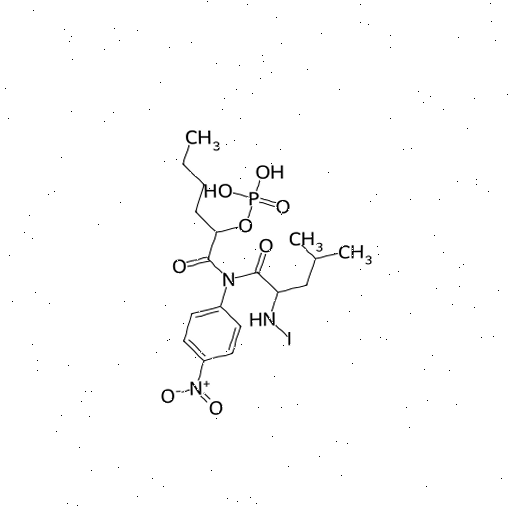 CCCCC(OP(=O)(O)O)C(=O)N(C(=O)C(CC(C)C)NI)c1ccc([N+](=O)[O-])cc1